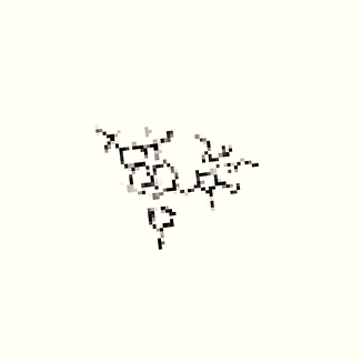 CCOP(=O)(OCC)n1nc(CN2CCO[C@H](O[C@H](C)c3cc(C(F)(F)F)cc(C(F)(F)F)c3)[C@@H]2c2ccc(F)cc2)[nH]c1=O